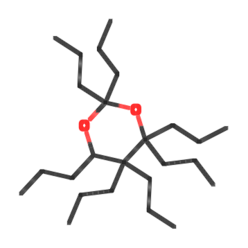 CCCC1OC(CCC)(CCC)OC(CCC)(CCC)C1(CCC)CCC